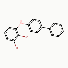 Brc1cccc(Bc2ccc(-c3ccccc3)cc2)c1Br